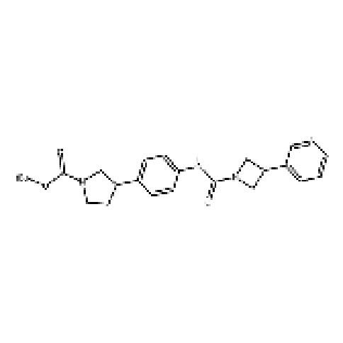 CC(C)(C)OC(=O)N1CCC(c2ccc(NC(=O)N3CC(c4cccnc4)C3)cc2)C1